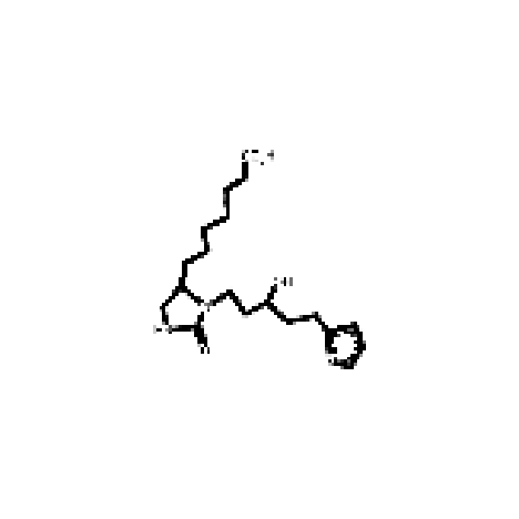 O=C(O)CCCCCCC1CNC(=O)N1CCC(O)CCc1cccs1